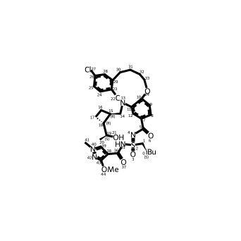 CC[C@H](C)CS(=O)(=NC(=O)c1ccc2c(c1)N(C[C@@H]1CC[C@H]1[C@H](C)O)Cc1ccc(Cl)cc1CCCCO2)NC(=O)c1cn(C)nc1OC